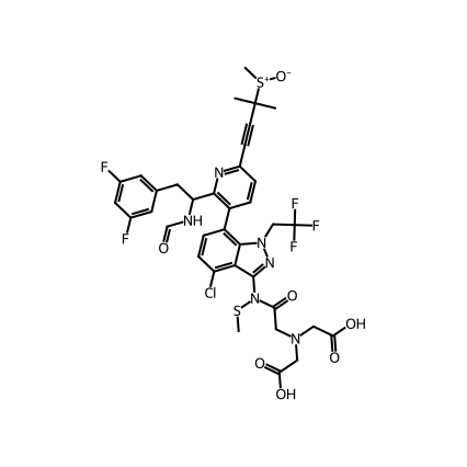 CSN(C(=O)CN(CC(=O)O)CC(=O)O)c1nn(CC(F)(F)F)c2c(-c3ccc(C#CC(C)(C)[S+](C)[O-])nc3C(Cc3cc(F)cc(F)c3)NC=O)ccc(Cl)c12